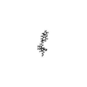 C=CCc1c(C)[nH]c(NCCCOc2cccc(CN3CCCC3)c2)nc1=O